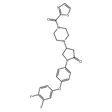 O=C(c1nccs1)N1CCN(C2CC(=O)N(c3ccc(Oc4ccc(F)c(F)c4)cc3)C2)CC1